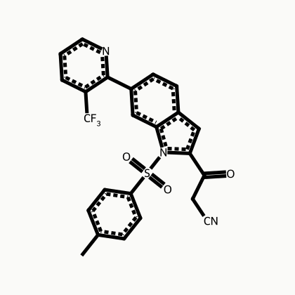 Cc1ccc(S(=O)(=O)n2c(C(=O)CC#N)cc3ccc(-c4ncccc4C(F)(F)F)cc32)cc1